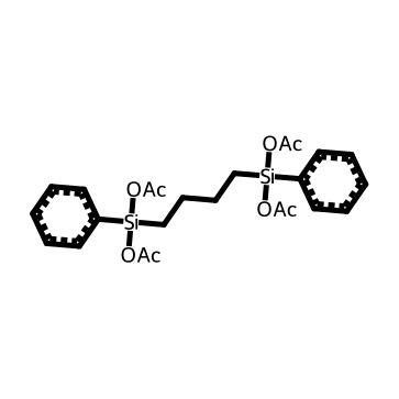 CC(=O)O[Si](CCCC[Si](OC(C)=O)(OC(C)=O)c1ccccc1)(OC(C)=O)c1ccccc1